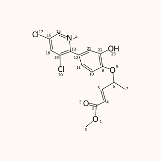 COC(=O)C=CC(C)Oc1ccc(-c2ncc(Cl)cc2Cl)cc1O